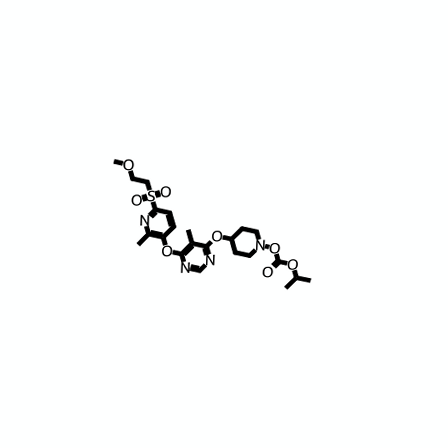 COCCS(=O)(=O)c1ccc(Oc2ncnc(OC3CCN(OC(=O)OC(C)C)CC3)c2C)c(C)n1